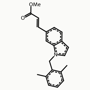 COC(=O)/C=C/c1ccc2ccn(Cc3c(C)cccc3C)c2c1